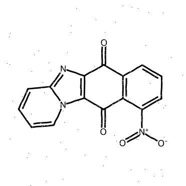 O=C1c2cccc([N+](=O)[O-])c2C(=O)c2c1nc1ccccn21